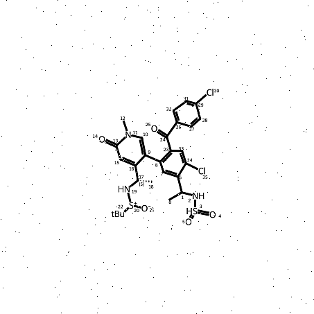 CC(N[SH](=O)=O)c1cc(-c2cn(C)c(=O)cc2[C@H](C)N[S+]([O-])C(C)(C)C)c(C(=O)c2ccc(Cl)cc2)cc1Cl